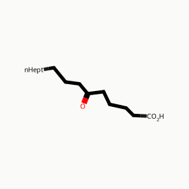 CCCCCCCCCCC(=O)CCCCC(=O)O